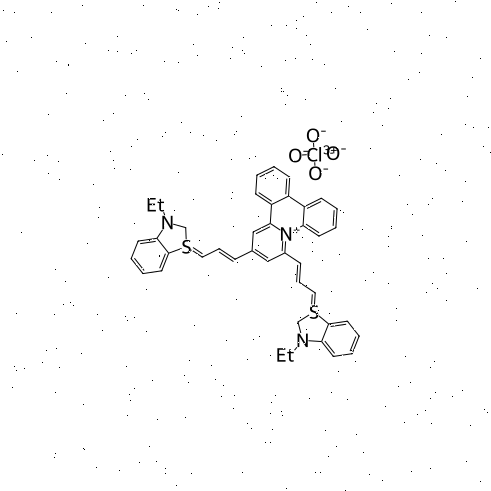 CCN1CS(=CC=Cc2cc(C=CC=S3CN(CC)c4ccccc43)[n+]3c4ccccc4c4ccccc4c3c2)c2ccccc21.[O-][Cl+3]([O-])([O-])[O-]